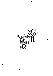 Cn1ncc(NC(=O)Oc2nc(C3CC3)cnc2Nc2cncnc2)c1C(N)=O